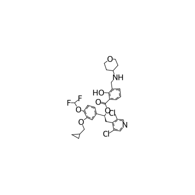 O=C(O[C@@H](Cc1c(Cl)cncc1Cl)c1ccc(OC(F)F)c(OCC2CC2)c1)c1cccc(CNC2CCOCC2)c1O